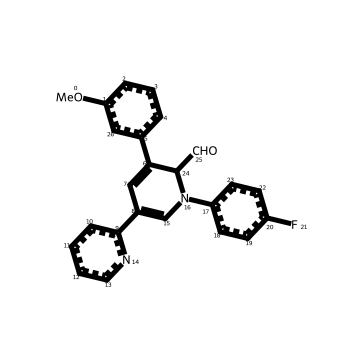 COc1cccc(C2=CC(c3ccccn3)=CN(c3ccc(F)cc3)C2C=O)c1